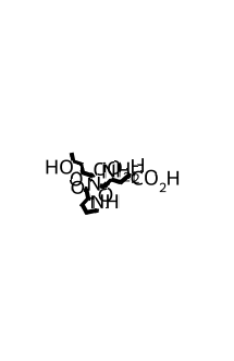 CC(O)CC(=O)C(C(=O)O)N(C(=O)C(N)CCC(=O)O)C(=O)C1CCCN1